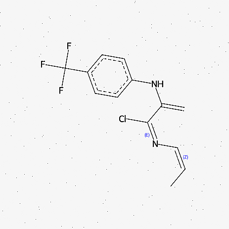 C=C(Nc1ccc(C(F)(F)F)cc1)/C(Cl)=N\C=C/C